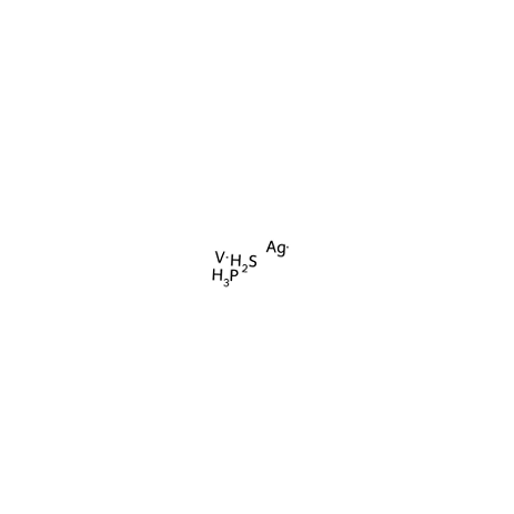 P.S.[Ag].[V]